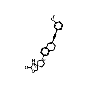 COc1cccc(C#CC2=Cc3ccc([C@H]4CC[C@]5(COC(=O)N5)C4)cc3CC2)c1